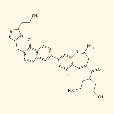 CCCC1C=CC(Cn2ncc3cc(-c4cc(F)c5c(c4)N=C(N)CC(C(=O)N(CCC)CCC)=C5)ccc3c2=O)=N1